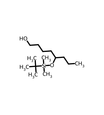 CCCC(CCCCO)O[Si](C)(C)C(C)(C)C